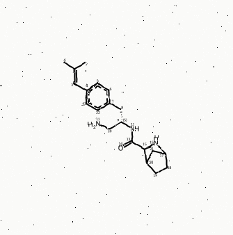 CC(C)=Cc1ccc(C[C@@H](CN)NC(=O)C2NC3CCC2C3)cc1